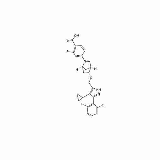 O=C(O)c1ccc(N2C[C@@H]3C[C@H]2C[C@H]3OCc2[nH]nc(-c3c(F)cccc3Cl)c2C2CC2)cc1F